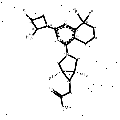 COC(=O)CC1[C@H]2CN(c3nc(N4CC(F)C4C)nc4c3CCCC4(F)F)C[C@@H]12